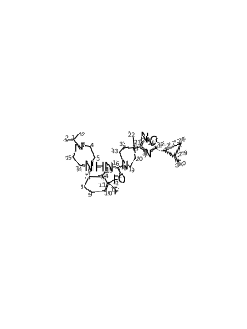 CC(C)N1CCN([C@H]2CCCC(F)(F)[C@@H]2NC(=O)N2CCC(C)(c3noc([C@H]4C[C@H]4C)n3)CC2)CC1